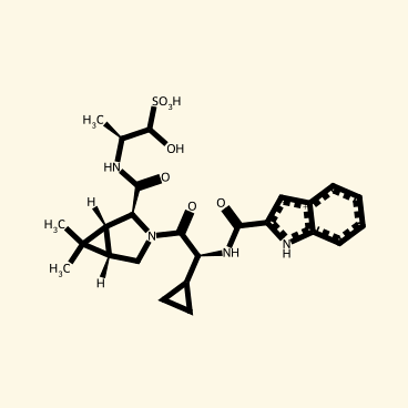 C[C@H](NC(=O)[C@@H]1[C@@H]2[C@H](CN1C(=O)[C@@H](NC(=O)c1cc3ccccc3[nH]1)C1CC1)C2(C)C)C(O)S(=O)(=O)O